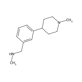 CNCc1cccc(C2CCN(C)CC2)c1